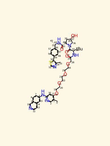 Cc1cnc(Nc2ccc3cnccc3c2)cc1OCCOCCOCCOCC(=O)NC(C(=O)N1C[C@H](O)C[C@H]1C(=O)N[C@@H](C)c1ccc(-c2scnc2C)cc1)C(C)(C)C